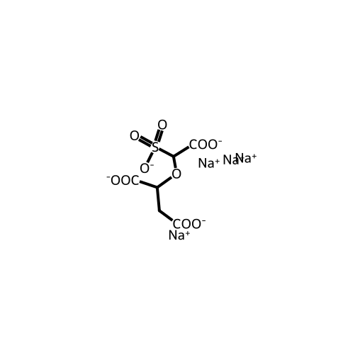 O=C([O-])CC(OC(C(=O)[O-])S(=O)(=O)[O-])C(=O)[O-].[Na+].[Na+].[Na+].[Na+]